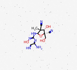 C[C@]1(C#N)[C@H](NC(=N/O)/N=C(/N)C=N)O[C@](C#N)(CO)[C@H]1O